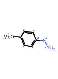 COc1ccc([N]N)cc1